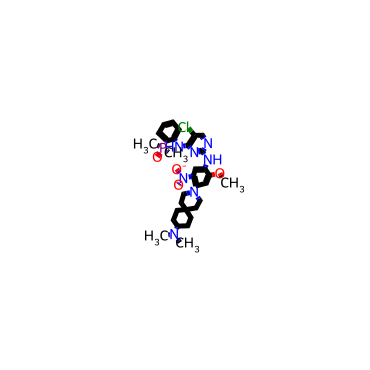 COc1cc(N2CCC3(CCC(N(C)C)CC3)CC2)c([N+](=O)[O-])cc1Nc1ncc(Cl)c(Nc2ccccc2P(C)(C)=O)n1